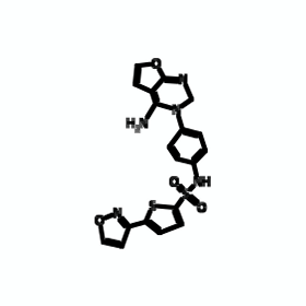 NC1=c2ccoc2=NCN1c1ccc(NS(=O)(=O)c2ccc(-c3ccon3)s2)cc1